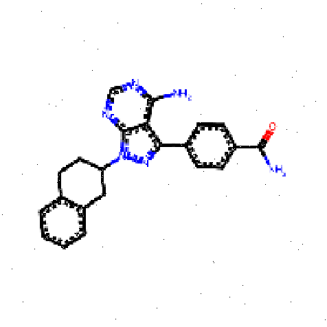 NC(=O)c1ccc(-c2nn(C3CCc4ccccc4C3)c3ncnc(N)c23)cc1